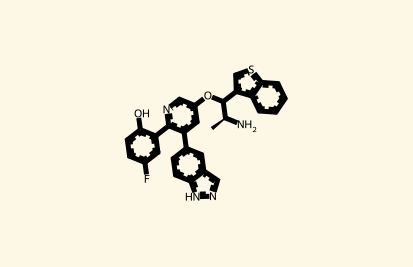 C[C@H](N)C(Oc1cnc(-c2cc(F)ccc2O)c(-c2ccc3[nH]ncc3c2)c1)c1csc2ccccc12